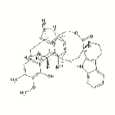 COc1c(C)cc2c(c1O)[C@H]1C3[C@@H]4SC[C@]5(NCCc6c5[nH]c5ccccc65)C(=O)OC[C@@H](c5c6c(c(C)c(O)c54)OCO6)N3[C@@H](C#N)C(C2)N1C